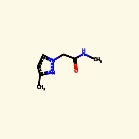 CNC(=O)Cn1ccc(C)n1